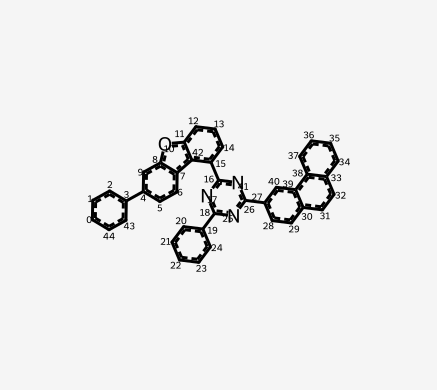 c1ccc(-c2ccc3c(c2)oc2cccc(-c4nc(-c5ccccc5)nc(-c5ccc6ccc7ccccc7c6c5)n4)c23)cc1